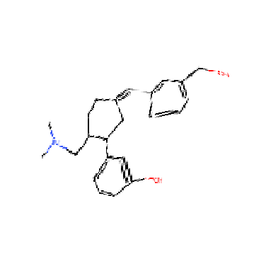 CN(C)CC1CCC(=Cc2cccc(CO)c2)CC1c1cccc(O)c1